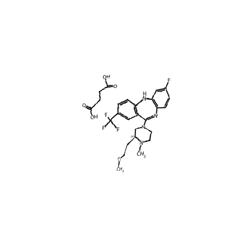 COCC[C@H]1CN(C2=Nc3ccc(F)cc3Nc3ccc(C(F)(F)F)cc32)CCN1C.O=C(O)CCC(=O)O